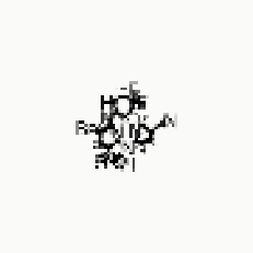 N#Cc1ccc(Nc2nc(NC3CCC(F)(F)CC3)c(Br)cc2[N+](=O)[O-])nc1